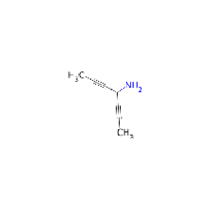 CC#CC(N)C#CC